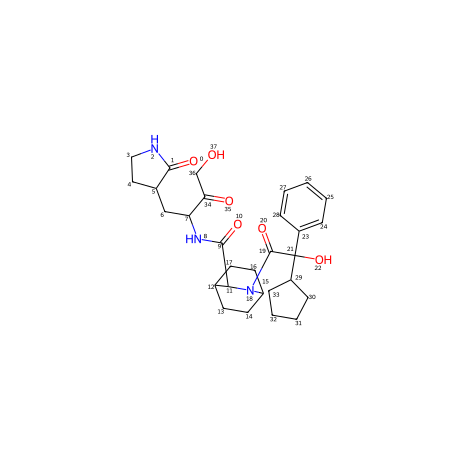 O=C1NCCC1CC(NC(=O)C1C2CCC(CC2)N1C(=O)C(O)(c1ccccc1)C1CCCC1)C(=O)CO